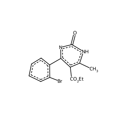 CCOC(=O)c1c(-c2ccccc2Br)nc(=O)[nH]c1C